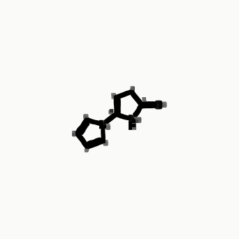 O=C1CC=C(n2cccc2)N1